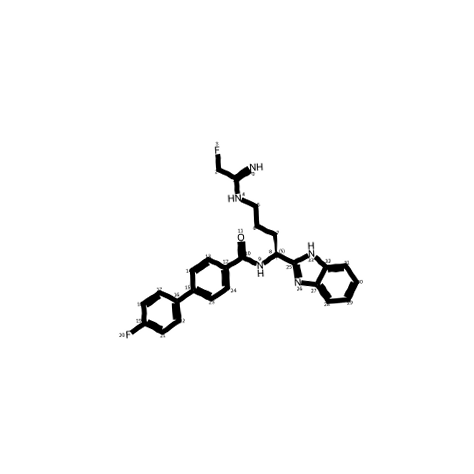 N=C(CF)NCCC[C@H](NC(=O)c1ccc(-c2ccc(F)cc2)cc1)c1nc2ccccc2[nH]1